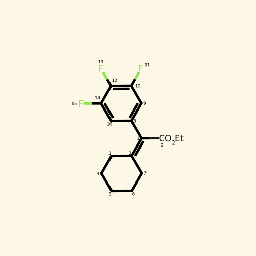 CCOC(=O)C(=C1CCCCC1)c1cc(F)c(F)c(F)c1